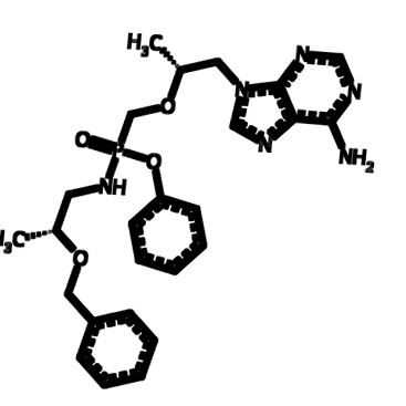 C[C@H](CNP(=O)(CO[C@H](C)Cn1cnc2c(N)ncnc21)Oc1ccccc1)OCc1ccccc1